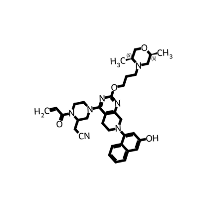 C=CC(=O)N1CCN(c2nc(OCCCN3C[C@H](C)OC[C@@H]3C)nc3c2CCN(c2cc(O)cc4ccccc24)C3)CC1CC#N